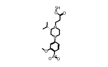 COc1cc(N2CCN(CCC(=O)OS)[C@@H](C(C)C)C2)ccc1[N+](=O)[O-]